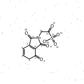 O=C1CC=CC2=C1C(=O)N(CC(=O)S(=O)(=O)Cl)C2=O